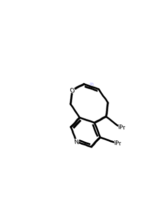 CC(C)c1cncc2c1C(C(C)C)C/C=C\OC2